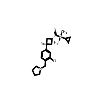 C[N+](C)(C(=O)[C@H]1C[C@@](F)(c2ccc(CN3CCCC3)c(Cl)c2)C1)C1CC1